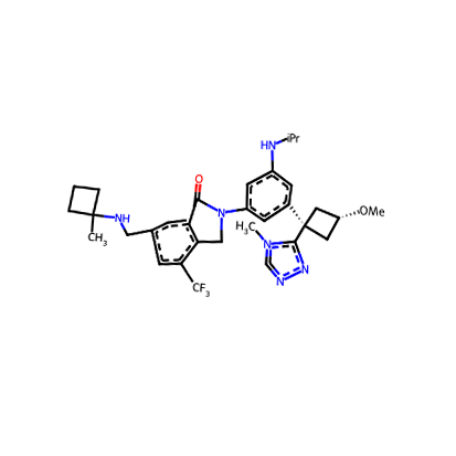 CO[C@H]1C[C@](c2cc(NC(C)C)cc(N3Cc4c(cc(CNC5(C)CCC5)cc4C(F)(F)F)C3=O)c2)(c2nncn2C)C1